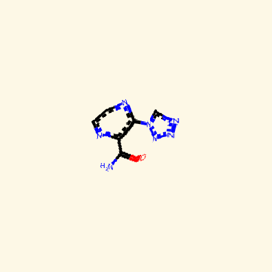 NC(=O)c1nccnc1-n1cnnn1